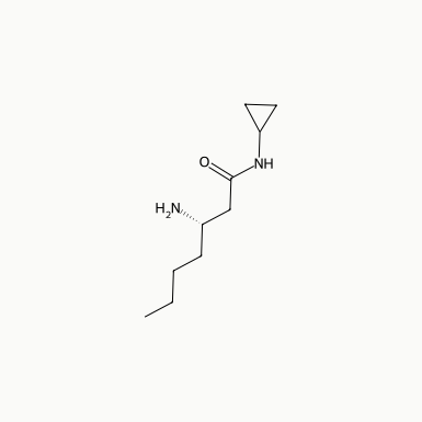 CCCC[C@H](N)CC(=O)NC1CC1